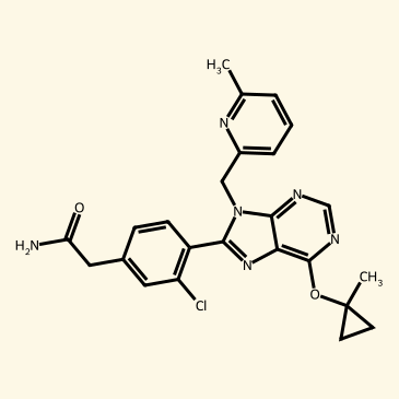 Cc1cccc(Cn2c(-c3ccc(CC(N)=O)cc3Cl)nc3c(OC4(C)CC4)ncnc32)n1